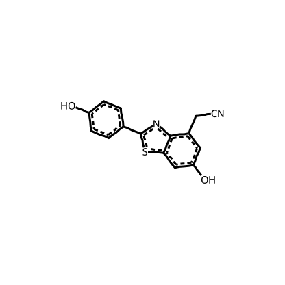 N#CCc1cc(O)cc2sc(-c3ccc(O)cc3)nc12